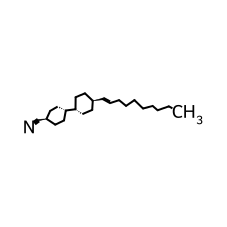 CCCCCCCCC=C[C@H]1CC[C@H]([C@H]2CC[C@H](C#N)CC2)CC1